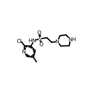 Cc1cnc(Cl)c(NS(=O)(=O)CCN2CCNCC2)c1